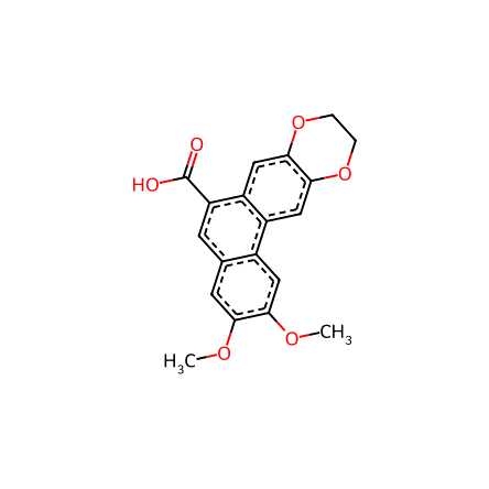 COc1cc2cc(C(=O)O)c3cc4c(cc3c2cc1OC)OCCO4